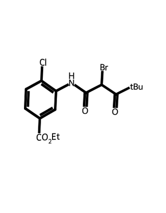 CCOC(=O)c1ccc(Cl)c(NC(=O)C(Br)C(=O)C(C)(C)C)c1